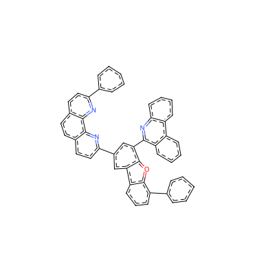 c1ccc(-c2ccc3ccc4ccc(-c5cc(-c6nc7ccccc7c7ccccc67)c6oc7c(-c8ccccc8)cccc7c6c5)nc4c3n2)cc1